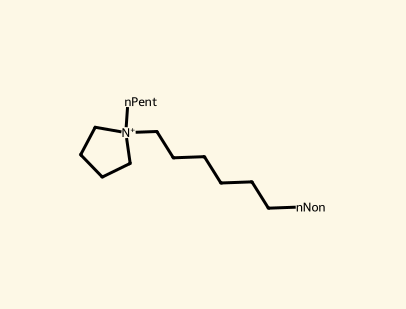 CCCCCCCCCCCCCCC[N+]1(CCCCC)CCCC1